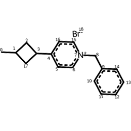 CC1CC(c2cc[n+](Cc3ccccc3)cc2)C1.[Br-]